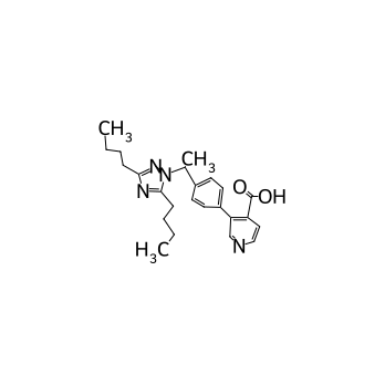 CCCCc1nc(CCCC)n(C(C)c2ccc(-c3cnccc3C(=O)O)cc2)n1